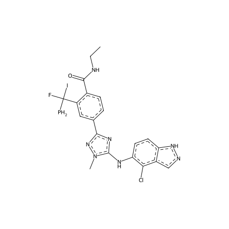 CCNC(=O)c1ccc(-c2nc(Nc3ccc4[nH]ncc4c3Cl)n(C)n2)cc1C(F)(P)I